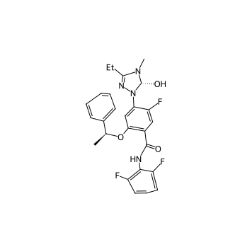 CCC1=NN(c2cc(O[C@@H](C)c3ccccc3)c(C(=O)Nc3c(F)cccc3F)cc2F)[C@@H](O)N1C